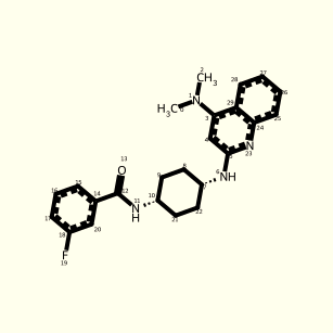 CN(C)c1cc(N[C@H]2CC[C@@H](NC(=O)c3cccc(F)c3)CC2)nc2ccccc12